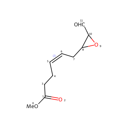 COC(=O)CC/C=C\CC1OC1C=O